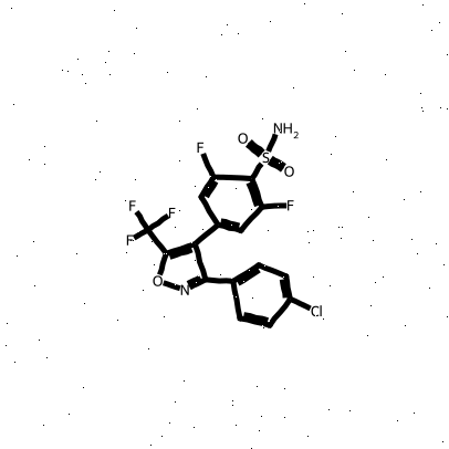 NS(=O)(=O)c1c(F)cc(-c2c(-c3ccc(Cl)cc3)noc2C(F)(F)F)cc1F